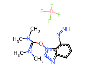 CN(C)C(On1nnc2cccc(N=N)c21)=[N+](C)C.F[B-](F)(F)F